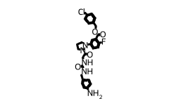 Nc1ccc(CNC(=O)NCC(=O)N2CCCN2c2ccc(F)c(C(=O)OCc3ccc(Cl)cc3)c2)cc1